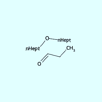 CCC=O.CCCCCCCOCCCCCCC